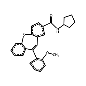 COc1ccccc1C1=Cc2cc(C(=O)NC3CCCC3)ccc2Sc2ccccc21